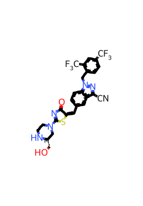 N#Cc1nn(Cc2ccc(C(F)(F)F)cc2C(F)(F)F)c2ccc(C=C3SC(N4CCN[C@@H](CO)C4)=NC3=O)cc12